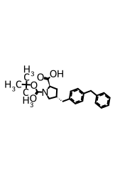 CC(C)(C)OC(=O)N1C[C@@H](Cc2ccc(Cc3ccccc3)cc2)C[C@@H]1C(=O)O